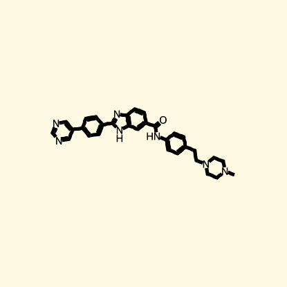 CN1CCN(CCc2ccc(NC(=O)c3ccc4nc(-c5ccc(-c6cncnc6)cc5)[nH]c4c3)cc2)CC1